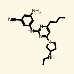 CCCCc1cc(N2CCC(NCC)C2)nc(Nc2cc(N)cc(C#N)c2)n1